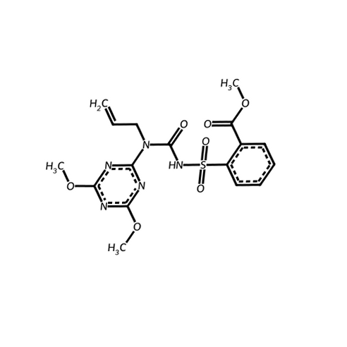 C=CCN(C(=O)NS(=O)(=O)c1ccccc1C(=O)OC)c1nc(OC)nc(OC)n1